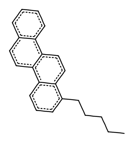 CCCCCc1cccc2c1ccc1c3ccccc3ccc21